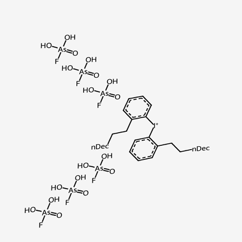 CCCCCCCCCCCCc1ccccc1[I+]c1ccccc1CCCCCCCCCCCC.O=[As](O)(O)F.O=[As](O)(O)F.O=[As](O)(O)F.O=[As](O)(O)F.O=[As](O)(O)F.O=[As](O)(O)F